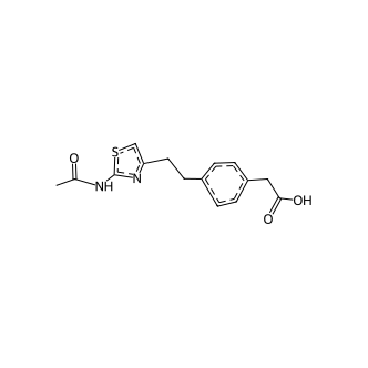 CC(=O)Nc1nc(CCc2ccc(CC(=O)O)cc2)cs1